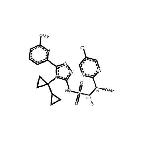 COc1cccc(-c2nnc(NS(=O)(=O)[C@@H](C)[C@H](OC)c3ncc(Cl)cn3)n2C2(C3CC3)CC2)n1